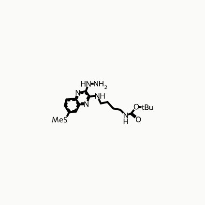 CSc1ccc2nc(NN)c(NCCCCNC(=O)OC(C)(C)C)nc2c1